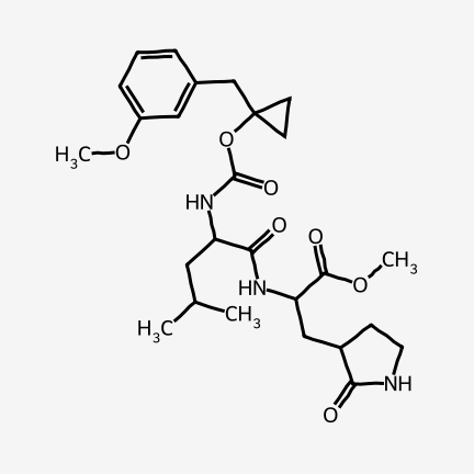 COC(=O)C(CC1CCNC1=O)NC(=O)C(CC(C)C)NC(=O)OC1(Cc2cccc(OC)c2)CC1